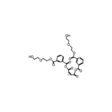 O=C(/C=C\C(=O)OC(=O)c1cccc(C(=O)OCCOCCO)c1)OC(=O)c1cccc(C(=O)OCCOCCO)c1